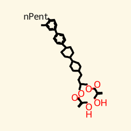 C=C(CO)C(=O)OCC(CCC1CCC(C2CCC(c3ccc(-c4ccc(CCCCC)c(C)c4)cc3)CC2)CC1)COC(=O)C(=C)CO